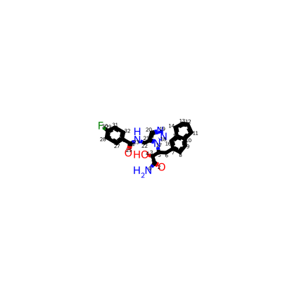 NC(=O)C(O)C(Cc1ccc2ccccc2c1)n1nncc1CNC(=O)c1ccc(F)cc1